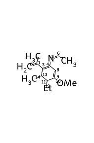 C=C(C)C1=C(/N=C\C)C=C(OC)C(CC)C1C